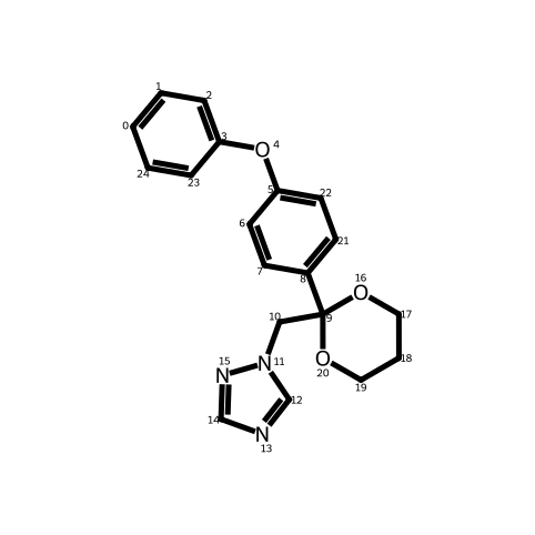 c1ccc(Oc2ccc(C3(Cn4cncn4)OCCCO3)cc2)cc1